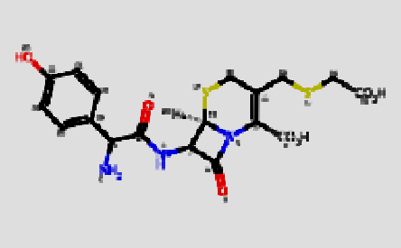 NC(C(=O)N[C@@H]1C(=O)N2C(C(=O)O)=C(CSCC(=O)O)CS[C@H]12)c1ccc(O)cc1